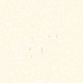 C=C(F)[C@H]1OC(=O)C[C@](C)(c2ccccc2F)[C@H]1F